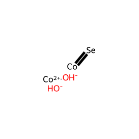 [Co+2].[Co]=[Se].[OH-].[OH-]